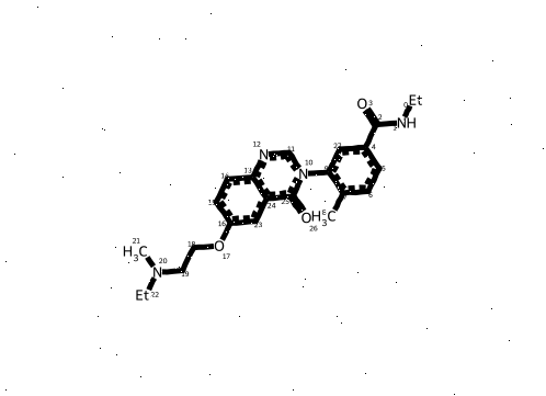 CCNC(=O)c1ccc(C)c(-n2cnc3ccc(OCCN(C)CC)cc3c2=O)c1